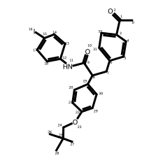 CC(=O)c1ccc(CC(C(=O)Nc2ccc(I)cc2)c2ccc(OCC(C)(C)C)cc2)cc1